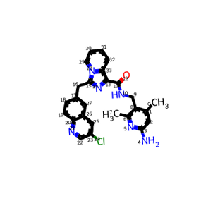 Cc1cc(N)nc(C)c1CNC(=O)c1nc(Cc2ccc3ncc(Cl)cc3c2)n2ccccc12